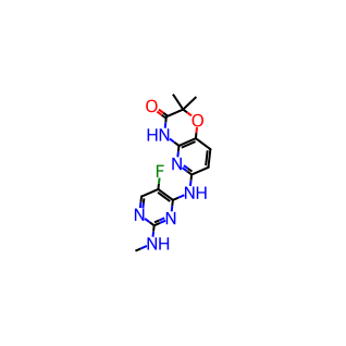 CNc1ncc(F)c(Nc2ccc3c(n2)NC(=O)C(C)(C)O3)n1